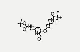 CC(C)(C)OC(=O)NCc1ccc(OC2CC3(C2)CN(C(=O)C(F)(F)F)C3)c(C=O)n1